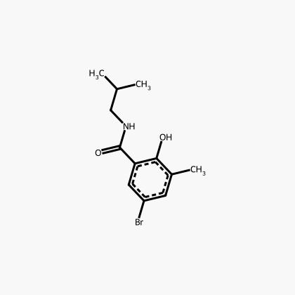 Cc1cc(Br)cc(C(=O)NCC(C)C)c1O